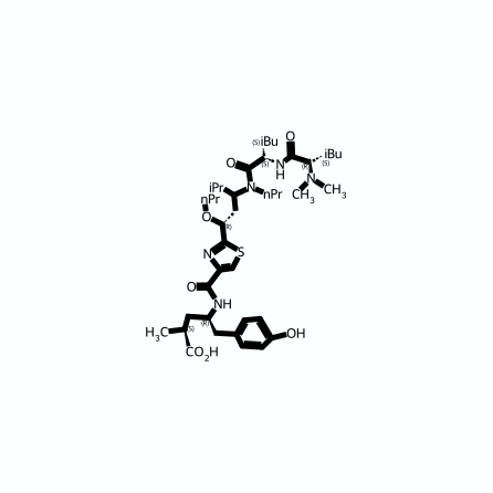 CCCO[C@H](CC(C(C)C)N(CCC)C(=O)[C@@H](NC(=O)[C@@H]([C@@H](C)CC)N(C)C)[C@@H](C)CC)c1nc(C(=O)N[C@@H](Cc2ccc(O)cc2)C[C@H](C)C(=O)O)cs1